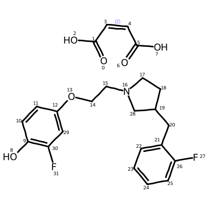 O=C(O)/C=C\C(=O)O.Oc1ccc(OCCN2CCC(Cc3ccccc3F)C2)cc1F